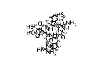 CC(C)(NC(=O)[C@@H](N)CCS)C(=O)N[C@H](Cc1ccccc1)C(=O)N[C@@H](CCCNC(=N)N)C(=O)N[C@@H](Cc1c[nH]c2ccccc12)C(=O)N[C@@H](CS)C(=O)O